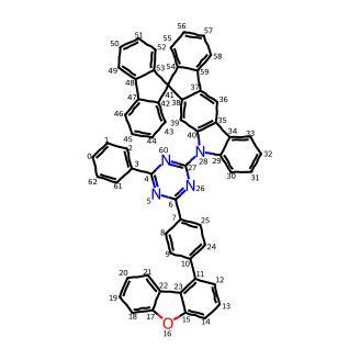 c1ccc(-c2nc(-c3ccc(-c4cccc5oc6ccccc6c45)cc3)nc(-n3c4ccccc4c4cc5c(cc43)C3(c4ccccc4-c4ccccc43)c3ccccc3-5)n2)cc1